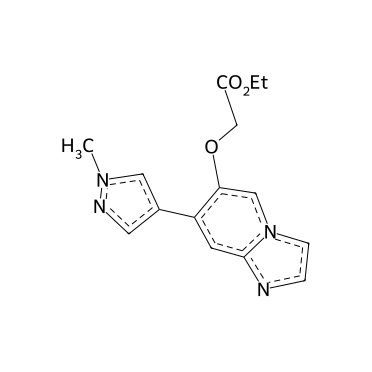 CCOC(=O)COc1cn2ccnc2cc1-c1cnn(C)c1